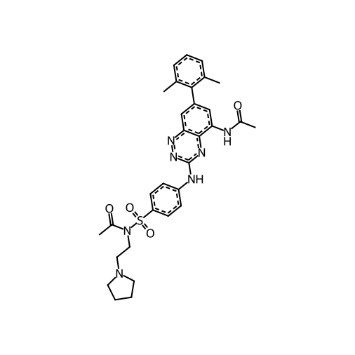 CC(=O)Nc1cc(-c2c(C)cccc2C)cc2nnc(Nc3ccc(S(=O)(=O)N(CCN4CCCC4)C(C)=O)cc3)nc12